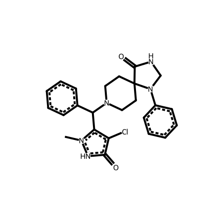 Cn1[nH]c(=O)c(Cl)c1C(c1ccccc1)N1CCC2(CC1)C(=O)NCN2c1ccccc1